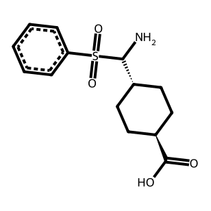 NC([C@H]1CC[C@H](C(=O)O)CC1)S(=O)(=O)c1ccccc1